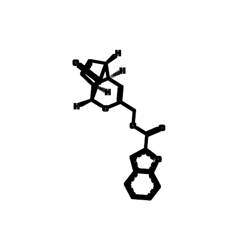 O=C(OCC1=C[C@H]2[C@@H]3C=C[C@H]2C(=O)O[C@@H]3O1)c1cc2ccccc2o1